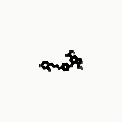 Cn1ncc2cc(C(N)=O)cc(Oc3ccc(OCCCN4CCNCC4=O)cc3)c21